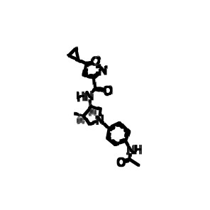 CC(=O)Nc1ccc(N2C[C@@H](C)[C@@H](NC(=O)c3cc(C4CC4)on3)C2)cc1